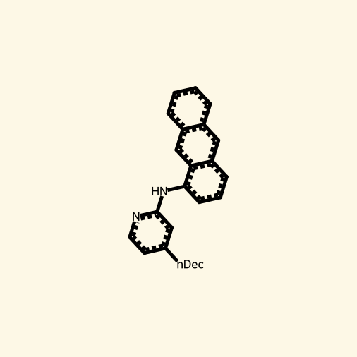 CCCCCCCCCCc1ccnc(Nc2cccc3cc4ccccc4cc23)c1